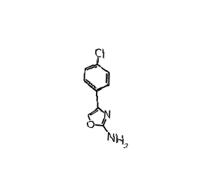 Nc1nc(-c2ccc(Cl)cc2)co1